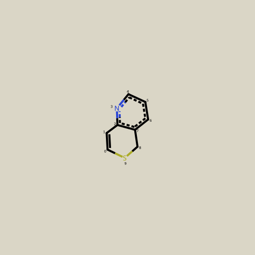 C1=Cc2ncccc2CS1